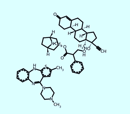 C#C[C@]1(O)CC[C@H]2[C@@H]3CCC4=CC(=O)CC[C@@H]4[C@H]3CC[C@@]21C.CN1[C@@H]2CC[C@H]1C[C@@H](OC(=O)C(CO)c1ccccc1)C2.Cc1cc2c(s1)Nc1ccccc1N=C2N1CCN(C)CC1